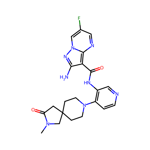 CN1CC2(CCN(c3ccncc3NC(=O)c3c(N)nn4cc(F)cnc34)CC2)CC1=O